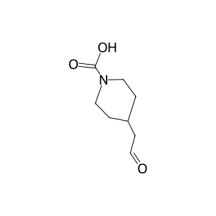 O=CCC1CCN(C(=O)O)CC1